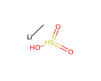 O=[SH](=O)O.[Li][CH3]